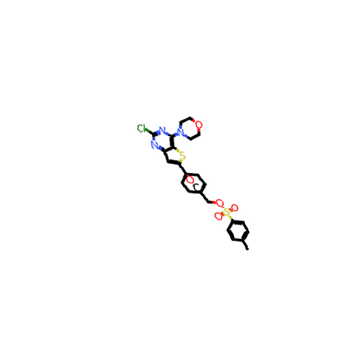 Cc1ccc(S(=O)(=O)OCC23CCC(c4cc5nc(Cl)nc(N6CCOCC6)c5s4)(CC2)OC3)cc1